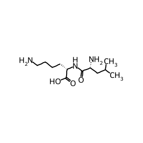 CC(C)C[C@@H](N)C(=O)N[C@@H](CCCCN)C(=O)O